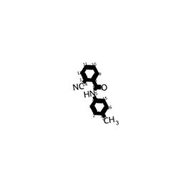 Cc1ccc(NC(=O)c2ccccc2C#N)cc1